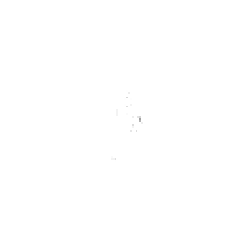 O=C(CCCCCCNc1nc(Nc2ccc(N3CCOCC3)cc2)ncc1F)NO